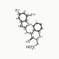 O=C(O)CC1Sc2ccccc2N(Cc2nc3cc(F)cc(F)c3s2)C1=S